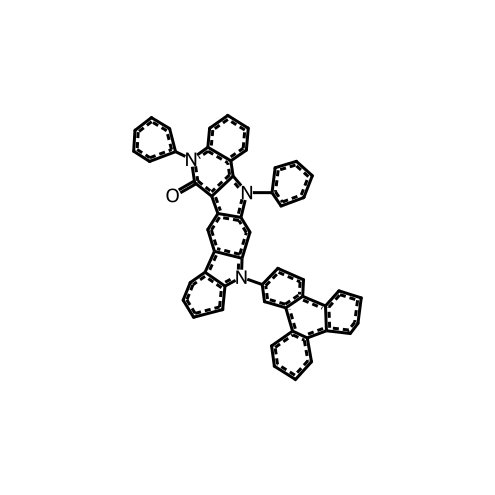 O=c1c2c3cc4c5ccccc5n(-c5ccc6c7ccccc7c7ccccc7c6c5)c4cc3n(-c3ccccc3)c2c2ccccc2n1-c1ccccc1